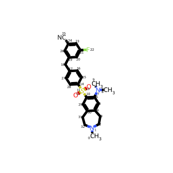 CN1CCc2cc(N(C)C)c(S(=O)(=O)c3ccc(Cc4cc(F)cc(C#N)c4)cc3)cc2CC1